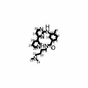 Cc1ccc(C(=O)NCCCCN(C)C)cc1Nc1nccc(-c2cccnc2)n1